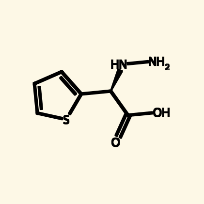 NN[C@@H](C(=O)O)c1cccs1